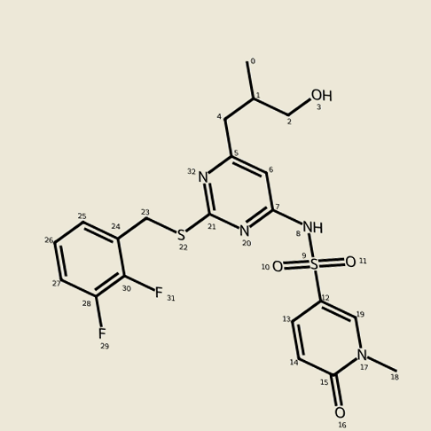 CC(CO)Cc1cc(NS(=O)(=O)c2ccc(=O)n(C)c2)nc(SCc2cccc(F)c2F)n1